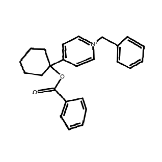 O=C(OC1(c2cc[n+](Cc3ccccc3)cc2)CCCCC1)c1ccccc1